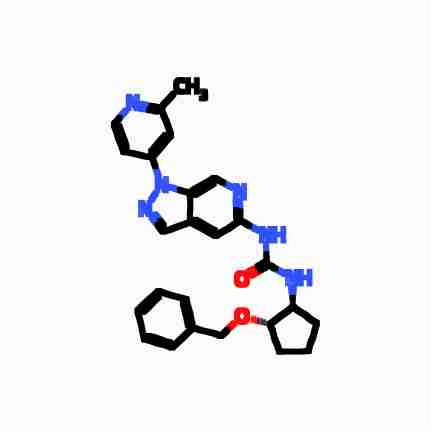 Cc1cc(-n2ncc3cc(NC(=O)N[C@H]4CCC[C@@H]4OCc4ccccc4)ncc32)ccn1